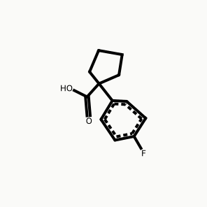 O=C(O)C1(c2ccc(F)cc2)CCCC1